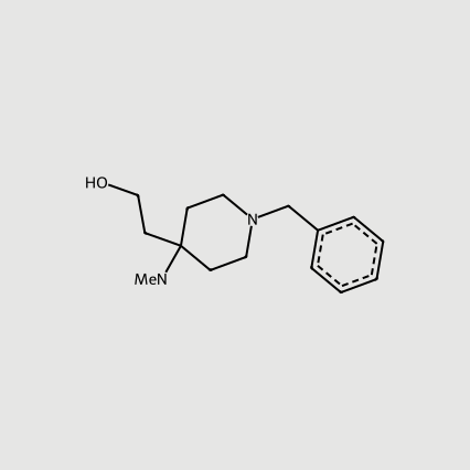 CNC1(CCO)CCN(Cc2ccccc2)CC1